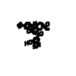 C=CC(=O)N1CCc2nn(-c3ccc(C4CCC4)cc3O)c3c2C(C1)N(C(=O)c1cc(O)c2scnc2c1)CC3